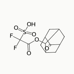 O=C1C2CC3CC1CC(C2)C3OC(=O)C(F)(F)S(=O)(=O)O